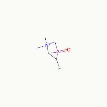 C[N+]1(C)CP2(=O)C(F)C12